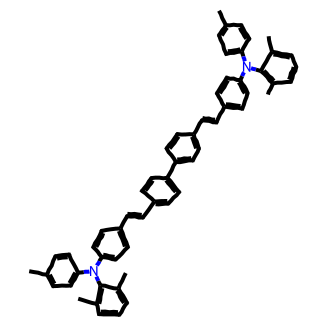 Cc1ccc(N(c2ccc(C=Cc3ccc(-c4ccc(C=Cc5ccc(N(c6ccc(C)cc6)c6c(C)cccc6C)cc5)cc4)cc3)cc2)c2c(C)cccc2C)cc1